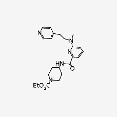 CCOC(=O)N1CCC(NC(=O)c2cccc(N(C)CCc3ccncc3)n2)CC1